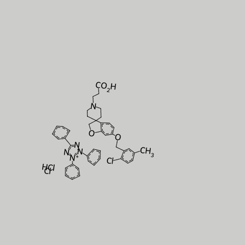 Cc1ccc(Cl)c(COc2ccc3c(c2)OCC32CCN(CCC(=O)O)CC2)c1.Cl.[Cl-].c1ccc(-c2nn(-c3ccccc3)[n+](-c3ccccc3)n2)cc1